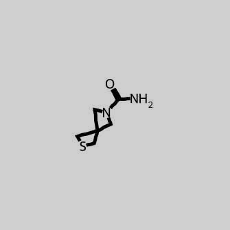 NC(=O)N1CC2(CSC2)C1